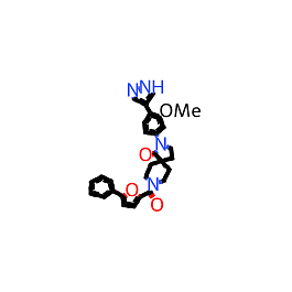 COc1cc(N2CCC3(CCN(C(=O)c4ccc(-c5ccccc5)o4)CC3)C2=O)ccc1-c1cn[nH]c1